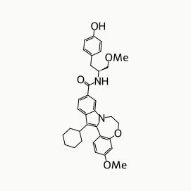 COC[C@H](Cc1ccc(O)cc1)NC(=O)c1ccc2c(C3CCCCC3)c3n(c2c1)CCOc1cc(OC)ccc1-3